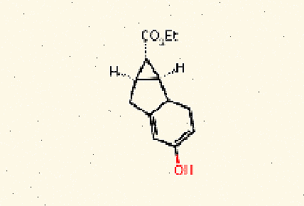 CCOC(=O)[C@H]1[C@@H]2CC3=CC(O)=CCC3[C@@H]21